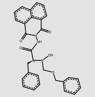 O=C(NN1C(=O)c2cccc3cccc(c23)C1=O)[C@H](Cc1ccccc1)N(O)COCc1ccccc1